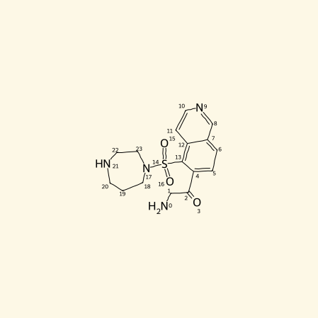 NCC(=O)c1ccc2cnccc2c1S(=O)(=O)N1CCCNCC1